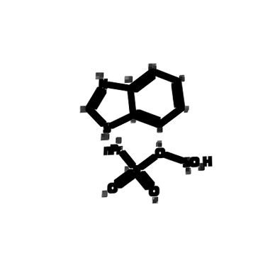 CCCS(=O)(=O)OS(=O)(=O)O.c1ccc2scnc2c1